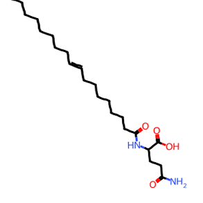 CCCCCCCCC=CCCCCCCCC(=O)NC(CCC(N)=O)C(=O)O